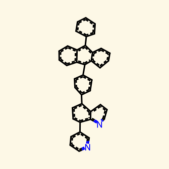 c1ccc(-c2c3ccccc3c(-c3ccc(-c4ccc(-c5cccnc5)c5ncccc45)cc3)c3ccccc23)cc1